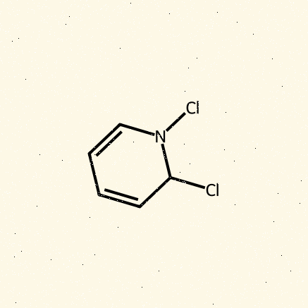 ClC1C=CC=CN1Cl